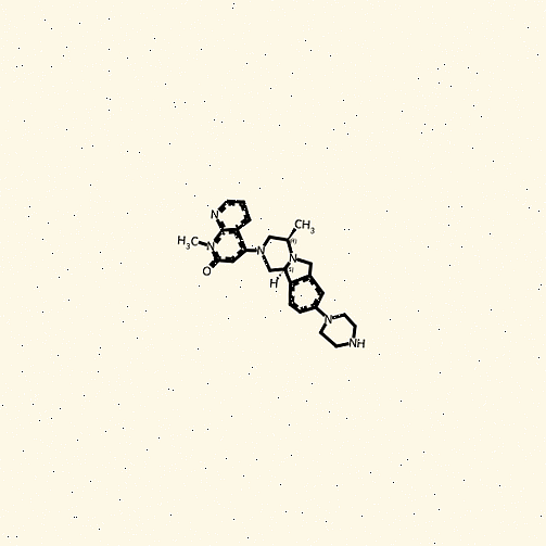 C[C@@H]1CN(c2cc(=O)n(C)c3ncccc23)C[C@@H]2c3ccc(N4CCNCC4)cc3CN12